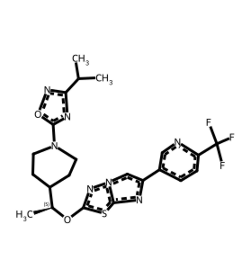 CC(C)c1noc(N2CCC([C@H](C)Oc3nn4cc(-c5ccc(C(F)(F)F)nc5)nc4s3)CC2)n1